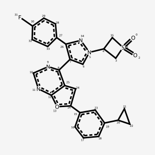 O=S1(=O)CC(n2cc(-c3ncnc4oc(-c5cccc(C6CC6)c5)cc34)c(-c3ccc(F)cc3)n2)C1